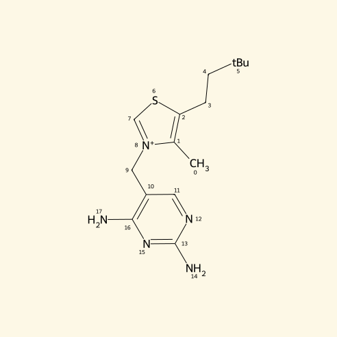 Cc1c(CCC(C)(C)C)sc[n+]1Cc1cnc(N)nc1N